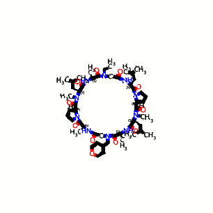 CCN1CC(=O)N[C@@H](CC(C)C)C(=O)N2CCC[C@@H]2C(=O)N(C)[C@@H](CC(C)C)C(=O)N[C@@H](C)C(=O)N(CC2CCOCC2)CC(=O)N[C@@H](C)C(=O)N2CCC[C@@H]2C(=O)N(C)[C@@H](CC(C)C)C(=O)N[C@@H](C)C1=O